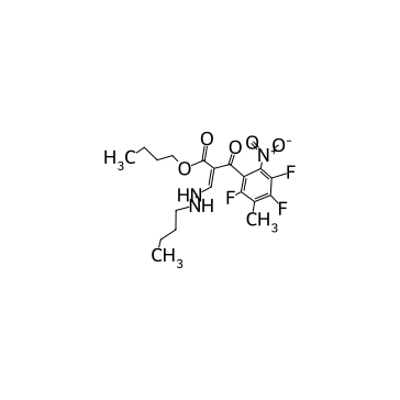 CCCCNNC=C(C(=O)OCCCC)C(=O)c1c(F)c(C)c(F)c(F)c1[N+](=O)[O-]